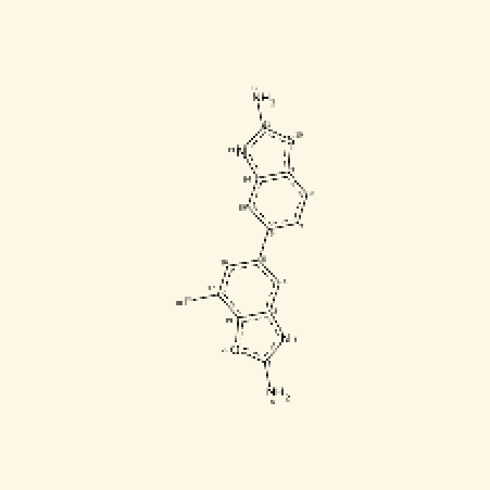 Nc1nc2cc(-c3ccc4sc(N)nc4c3)cc(F)c2o1